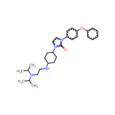 CC(C)N(CCNC1CCC(n2ccn(-c3ccc(Oc4ccccc4)cc3)c2=O)CC1)C(C)C